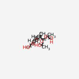 C=CC.CC(O)COC(C)COC(C)CO.COC.COCCO